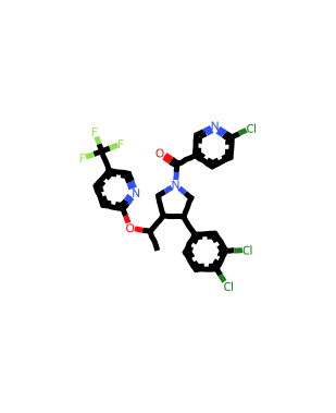 CC(Oc1ccc(C(F)(F)F)cn1)C1CN(C(=O)c2ccc(Cl)nc2)CC1c1ccc(Cl)c(Cl)c1